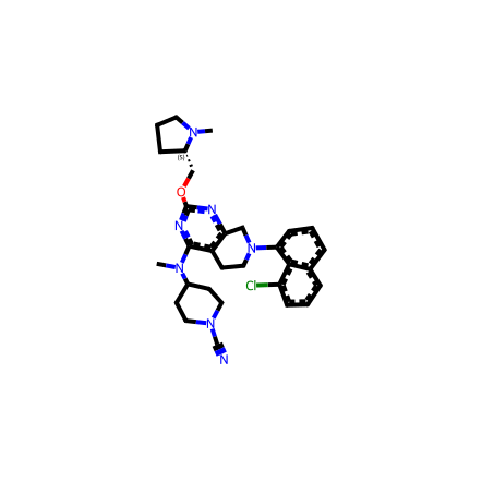 CN(c1nc(OC[C@@H]2CCCN2C)nc2c1CCN(c1cccc3cccc(Cl)c13)C2)C1CCN(C#N)CC1